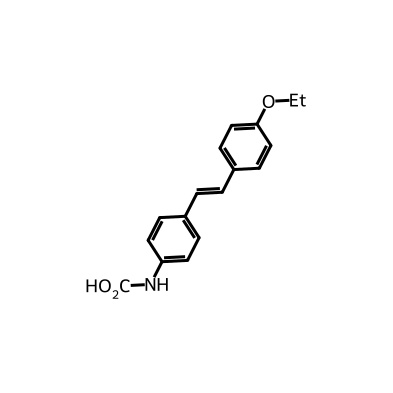 CCOc1ccc(C=Cc2ccc(NC(=O)O)cc2)cc1